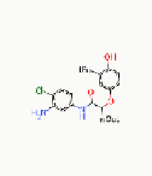 CCCCCCCCC(Oc1ccc(O)c(C(C)(C)C)c1)C(=O)Nc1ccc(Cl)c(N)c1